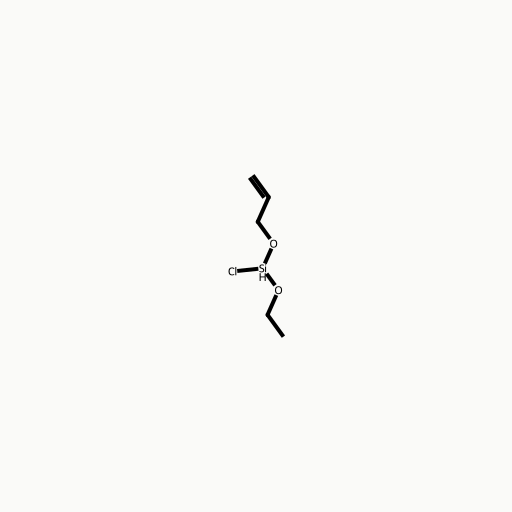 C=CCO[SiH](Cl)OCC